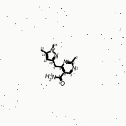 Cc1ncc(C(N)=O)c(Cc2cc(C)n(C)n2)n1